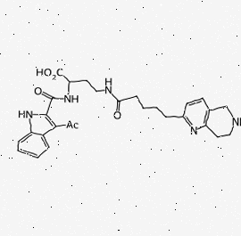 CC(=O)c1c(C(=O)NC(CCNC(=O)CCCCc2ccc3c(n2)CCNC3)C(=O)O)[nH]c2ccccc12